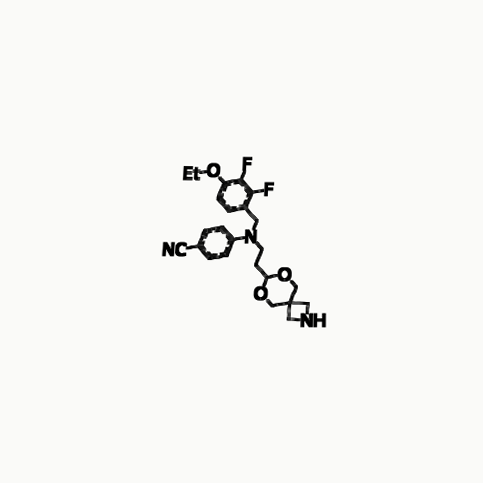 CCOc1ccc(CN(CCC2OCC3(CNC3)CO2)c2ccc(C#N)cc2)c(F)c1F